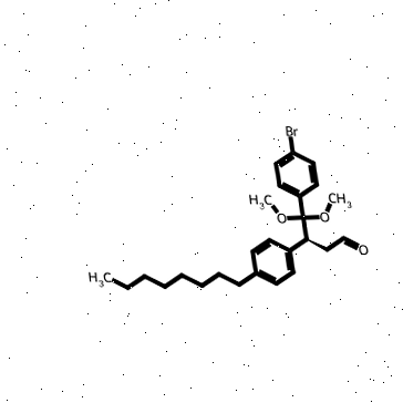 CCCCCCCCc1ccc([C@H](CC=O)C(OC)(OC)c2ccc(Br)cc2)cc1